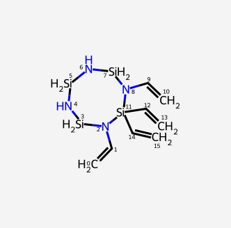 C=CN1[SiH2]N[SiH2]N[SiH2]N(C=C)[Si]1(C=C)C=C